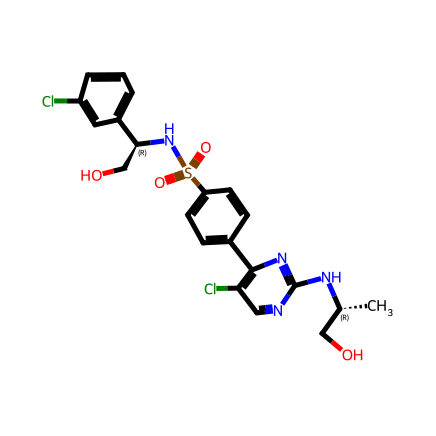 C[C@H](CO)Nc1ncc(Cl)c(-c2ccc(S(=O)(=O)N[C@@H](CO)c3cccc(Cl)c3)cc2)n1